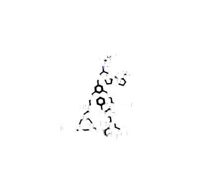 CCCCNC(=O)/N=C/C(CSCc1cc(CSCCNC(=O)CN2CCN(CC(=O)O)CCN(CC(=O)O)CC2)cc(CSCC(NC(=O)[C@H](Cc2ccccc2)NC(=O)[C@H](CCC(N)=O)NC(=O)[C@@H](C)[C@@H](C)O)C(=O)O)c1)C(=O)N1CCC[C@H]1C(=O)N1CCC[C@H]1C(N)=O